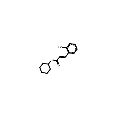 O=C(C=Cc1ccccc1O)OC1CCCCC1